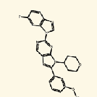 Fc1ccc2ncn(-c3ncc4nc(-c5cccc(OC(F)(F)F)c5)n(C5CCOCC5)c4n3)c2c1